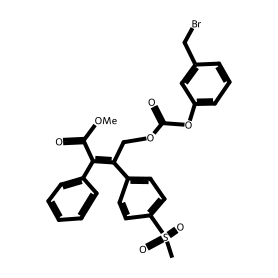 COC(=O)/C(=C(\COC(=O)Oc1cccc(CBr)c1)c1ccc(S(C)(=O)=O)cc1)c1ccccc1